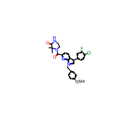 COc1ccc(Cn2cc(-c3ccc(Cl)c(F)c3)c3ccc(C(=O)N4CCNC(=O)C4(C)C)nc32)cc1